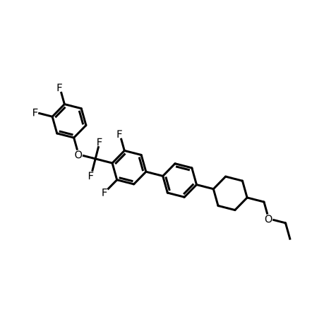 CCOCC1CCC(c2ccc(-c3cc(F)c(C(F)(F)Oc4ccc(F)c(F)c4)c(F)c3)cc2)CC1